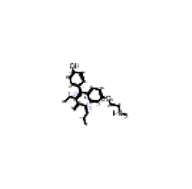 C=C(/C=C\CC)/C(CC)=C(/c1ccc(O)cc1)c1ccc(OCCNC)cc1